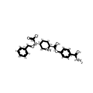 NC(=O)c1ccc(OC(=O)[C@@H]2CC[C@@H](N(OCc3ccccc3)C(=O)Cl)CN2)cc1